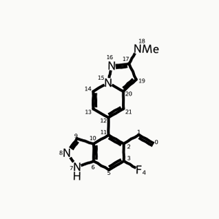 C=Cc1c(F)cc2[nH]ncc2c1-c1ccn2nc(NC)cc2c1